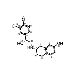 Oc1ccc2c(c1)C[C@@H](NC[C@H](O)c1cnc(Cl)c(Cl)c1)CC2